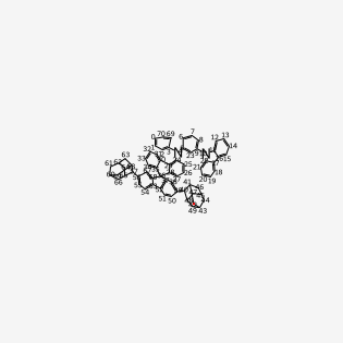 c1ccc(N(c2cccc(-n3c4ccccc4c4ccccc43)c2)c2cccc3c2-c2ccccc2C32c3cc(C4C5CC6CC(C5)CC4C6)ccc3-c3ccc(C4C5CC6CC(C5)CC4C6)cc32)cc1